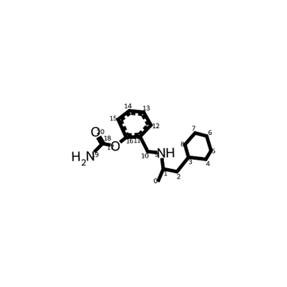 CC(CC1CCCCC1)NCc1ccccc1OC(N)=O